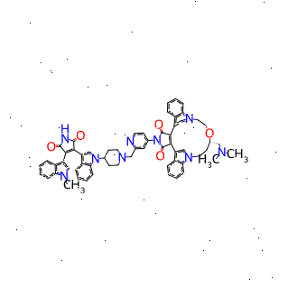 CN(C)C[C@@H]1CCn2cc(c3ccccc32)C2=C(C(=O)N(c3ccnc(CN4CCC(n5cc(C6=C(c7cn(C)c8ccccc78)C(=O)NC6=O)c6ccccc65)CC4)c3)C2=O)c2cn(c3ccccc23)CCO1